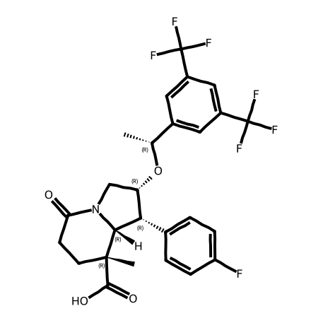 C[C@@H](O[C@H]1CN2C(=O)CC[C@@](C)(C(=O)O)[C@H]2[C@H]1c1ccc(F)cc1)c1cc(C(F)(F)F)cc(C(F)(F)F)c1